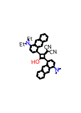 CCN(CC)c1ccc(C2C(O)=C(c3ccc(N(C)C)c4cc5ccccc5cc34)C2=C(C#N)C#N)c2cc3ccccc3cc12